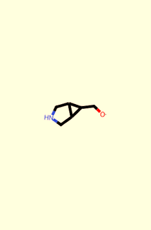 [O]CC1C2CNCC12